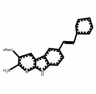 CCCCCc1cc2c(nc1N)[nH]c1ccc(C=Cc3ccccc3)cc12